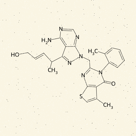 Cc1ccccc1-n1c(Cn2nc(C(C)/C=C/CO)c3c(N)ncnc32)nc2scc(C)c2c1=O